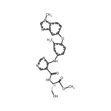 COC(=O)[C@H](CO)NC(=O)c1cncnc1Nc1ccc(Oc2ccc3c(c2)ncn3C)c(C)c1